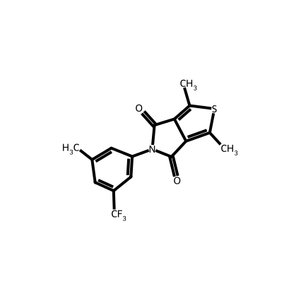 Cc1cc(N2C(=O)c3c(C)sc(C)c3C2=O)cc(C(F)(F)F)c1